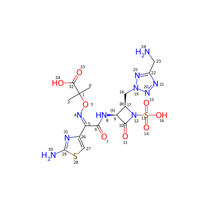 CC(C)(ON=C(C(=O)N[C@@H]1C(=O)N(S(=O)(=O)O)[C@@H]1Cn1nnc(CN)n1)c1csc(N)n1)C(=O)O